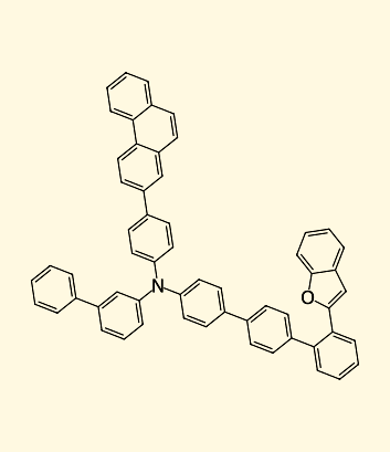 c1ccc(-c2cccc(N(c3ccc(-c4ccc(-c5ccccc5-c5cc6ccccc6o5)cc4)cc3)c3ccc(-c4ccc5c(ccc6ccccc65)c4)cc3)c2)cc1